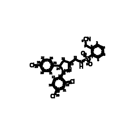 N#CCc1ccccc1S(=O)(=O)NCC1=NN(c2ccc(Cl)cc2Cl)C(c2ccc(Cl)cc2)C1